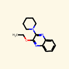 CCOc1nc2ccccc2nc1N1CCCCC1